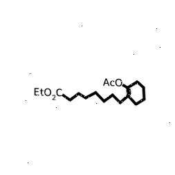 CCOC(=O)CCCCCCCC1=C(OC(C)=O)CCCC1